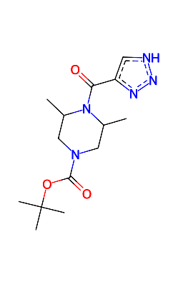 CC1CN(C(=O)OC(C)(C)C)CC(C)N1C(=O)c1c[nH]nn1